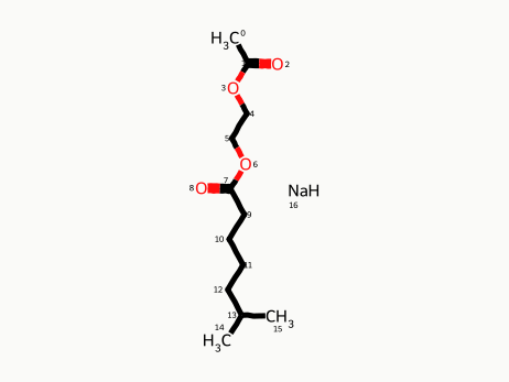 CC(=O)OCCOC(=O)CCCCC(C)C.[NaH]